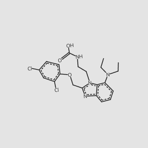 CCN(CC)c1cccc2nc(COc3ccc(Cl)cc3Cl)n(CCNC(=O)O)c12